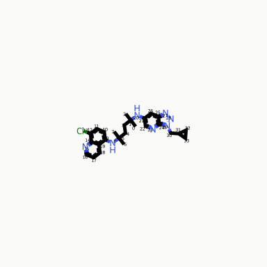 CC(C)(CCC(C)(C)Nc1ccc(Cl)c2ncccc12)Nc1cnc2c(c1)nnn2CC1CC1